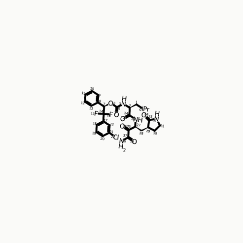 CC(C)C[C@H](NC(=O)O[C@H](c1ccccc1)C(F)(F)c1cccc(Cl)c1)C(=O)N[C@@H](C[C@@H]1CCNC1=O)C(=O)C(N)=O